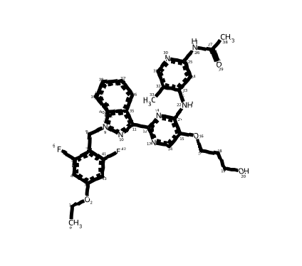 CCOc1cc(F)c(Cn2nc(-c3ncc(OCCCO)c(Nc4cc(NC(C)=O)ncc4C)n3)c3ccccc32)c(F)c1